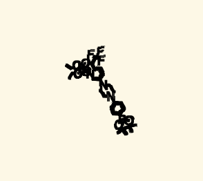 CCOP(=O)(OCC)OC(c1ccc(N2CCN(c3ccc(B4OC(C)(C)C(C)(C)O4)cc3)CC2)cn1)C(F)(F)F